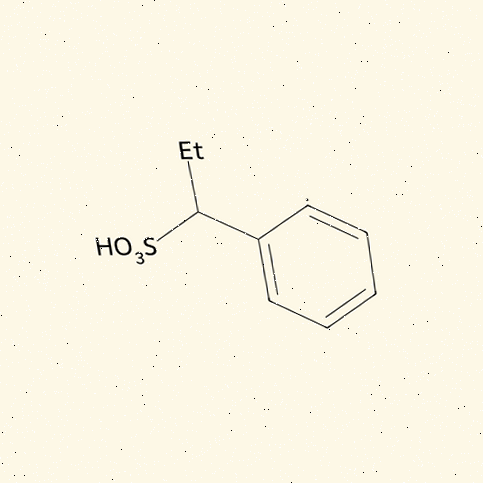 CCC(c1[c]cccc1)S(=O)(=O)O